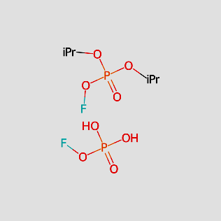 CC(C)OP(=O)(OF)OC(C)C.O=P(O)(O)OF